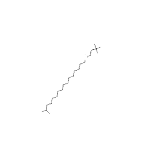 CC(C)CCCCCCCCCCCCCCOCCC(C)(C)C